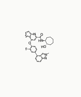 Cn1cc2c(-c3ccc(Oc4cc(C(=O)N[C@H]5CCCCC[C@@H]5O)nc5ccsc45)c(F)c3)cccc2n1